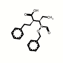 CC[C@H]([C@@H](CCc1ccccc1)C(=O)O)N(C=O)OCc1ccccc1